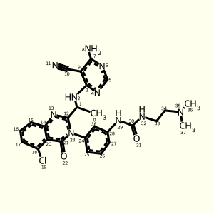 CC(Nc1ncnc(N)c1C#N)c1nc2cccc(Cl)c2c(=O)n1-c1cccc(NC(=O)NCCN(C)C)c1